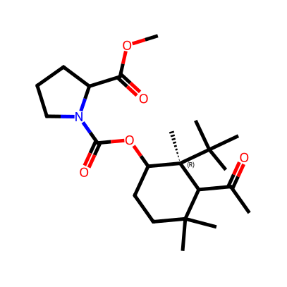 COC(=O)C1CCCN1C(=O)OC1CCC(C)(C)C(C(C)=O)[C@]1(C)C(C)(C)C